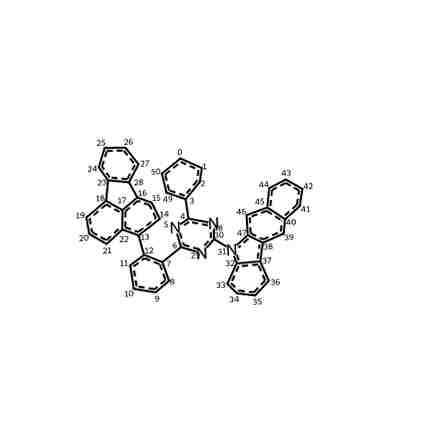 c1ccc(-c2nc(-c3ccccc3-c3ccc4c5c(cccc35)-c3ccccc3-4)nc(-n3c4ccccc4c4cc5ccccc5cc43)n2)cc1